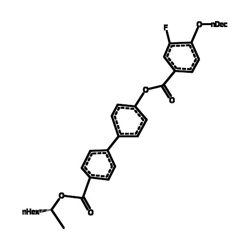 CCCCCCCCCCOc1ccc(C(=O)Oc2ccc(-c3ccc(C(=O)O[C@H](C)CCCCCC)cc3)cc2)cc1F